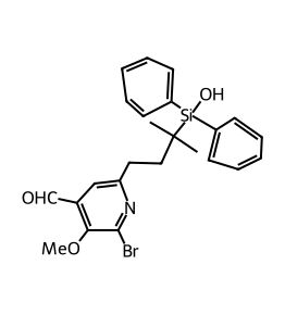 COc1c(C=O)cc(CCC(C)(C)[Si](O)(c2ccccc2)c2ccccc2)nc1Br